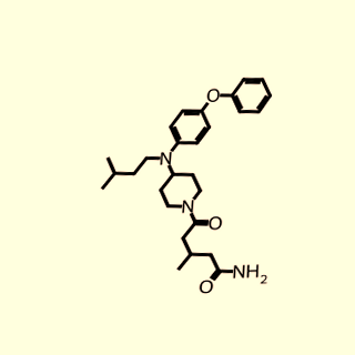 CC(C)CCN(c1ccc(Oc2ccccc2)cc1)C1CCN(C(=O)CC(C)CC(N)=O)CC1